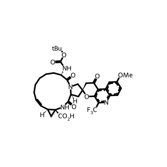 COc1ccc2nc(C(F)(F)F)c3c(c2c1)C(=O)C[C@]1(C[C@H]2C(=O)N[C@]4(C(=O)O)C[C@H]4/C=C\CCCCC[C@H](NC(=O)OC(C)(C)C)C(=O)N2C1)O3